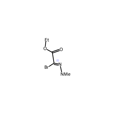 CCOC(=O)/C(Br)=N/NC